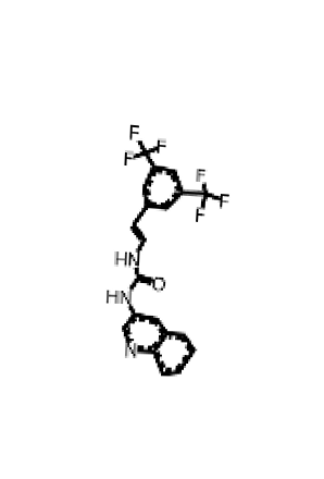 O=C(N/C=C/c1cc(C(F)(F)F)cc(C(F)(F)F)c1)Nc1cnc2ccccc2c1